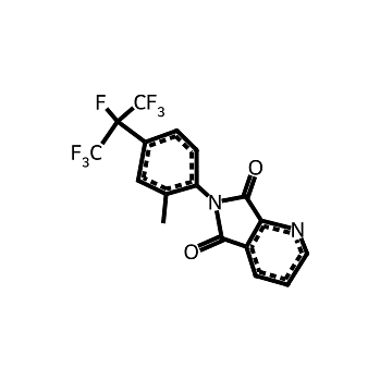 Cc1cc(C(F)(C(F)(F)F)C(F)(F)F)ccc1N1C(=O)c2cccnc2C1=O